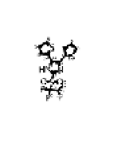 O=S(=O)(c1nc(-c2cccs2)c(-c2cccs2)[nH]1)C(F)(F)C(F)F